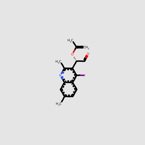 C=C(C)O[C@H](C=O)c1c(C)nc2cc(C)ccc2c1I